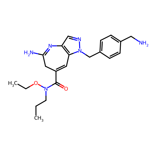 CCCN(OCC)C(=O)C1=Cc2c(cnn2Cc2ccc(CN)cc2)N=C(N)C1